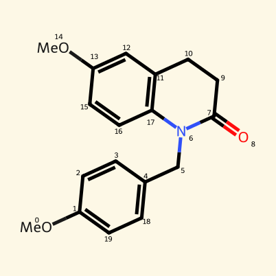 COc1ccc(CN2C(=O)CCc3cc(OC)ccc32)cc1